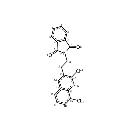 O=C1c2ccccc2C(=O)N1CCc1cc2cccc(Cl)c2nc1Cl